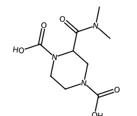 CN(C)C(=O)C1CN(C(=O)O)CCN1C(=O)O